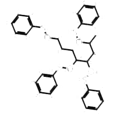 CC(CC(OSc1ccccc1)C(CCCOSc1ccccc1)OSc1ccccc1)OSc1ccccc1